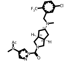 CC(=O)N(C)c1cnn(C(=O)N2C[C@H]3C[C@H](N(C)Cc4cc(Cl)ccc4C(F)(F)F)C[C@H]3C2)c1